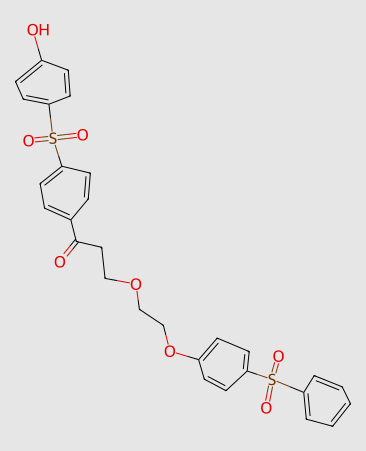 O=C(CCOCCOc1ccc(S(=O)(=O)c2ccccc2)cc1)c1ccc(S(=O)(=O)c2ccc(O)cc2)cc1